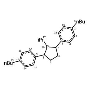 CCCCc1ccc(C2CCC(c3ccc(CCCC)cc3)P2C(C)C)cc1